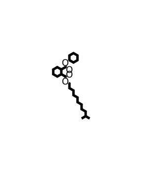 CC(C)CCCCCCCCCOC(=O)C1CCCCC1C(=O)OC1CCCCC1